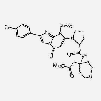 CCCCCn1c(N2CCC[C@H]2C(=O)NC2(CC(=O)OC)CCOCC2)cc(=O)n2cc(-c3ccc(Cl)cc3)nc12